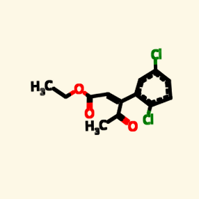 CCOC(=O)C=C(C(C)=O)c1cc(Cl)ccc1Cl